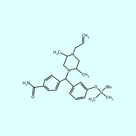 C=CCN1CC(C)N(C(c2ccc(C(N)=O)cc2)c2cccc(O[Si](C)(C)C(C)(C)C)c2)CC1C